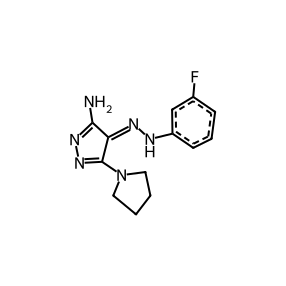 NC1=NN=C(N2CCCC2)/C1=N\Nc1cccc(F)c1